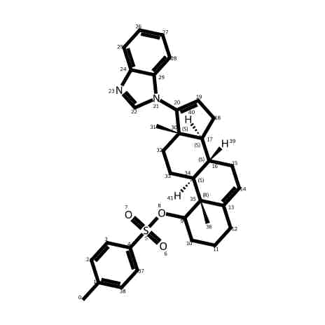 Cc1ccc(S(=O)(=O)OC2CCCC3=CC[C@H]4[C@@H]5CC=C(n6cnc7ccccc76)[C@@]5(C)CC[C@@H]4[C@]32C)cc1